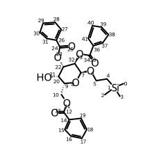 C[Si](C)(C)CCO[C@H]1O[C@H](COC(=O)c2ccccc2)[C@H](O)[C@H](OC(=O)c2ccccc2)[C@H]1OC(=O)c1ccccc1